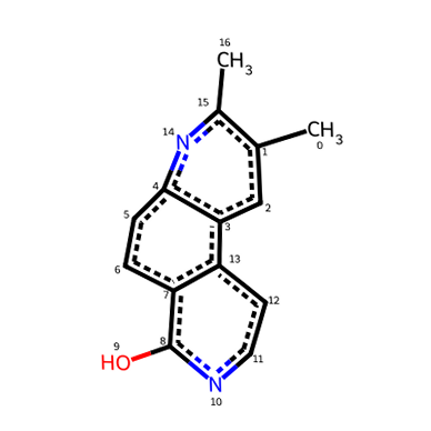 Cc1cc2c(ccc3c(O)nccc32)nc1C